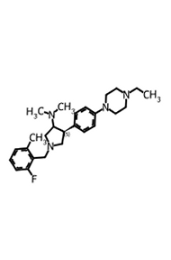 CCN1CCN(c2ccc([C@H]3CN(Cc4c(C)cccc4F)CC3N(C)C)cc2)CC1